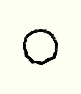 [C]1=C/C=C/C=C/C=C/C=C\CCCCCCCCCCCCC/1